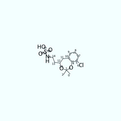 CC1(C)Oc2c(Cl)cccc2CC(CCNS(=O)(=O)O)O1